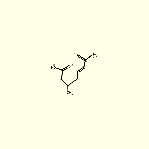 CC(CC=CC(N)=O)CC(=O)O